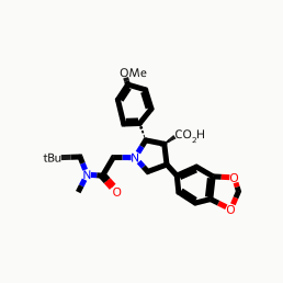 COc1ccc([C@@H]2[C@@H](C(=O)O)C(c3ccc4c(c3)OCO4)CN2CC(=O)N(C)CC(C)(C)C)cc1